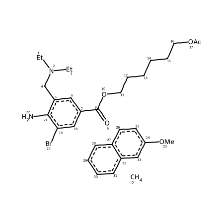 C.CCN(CC)Cc1cc(C(=O)OCCCCCCOC(C)=O)cc(Br)c1N.COc1ccc2ccccc2c1